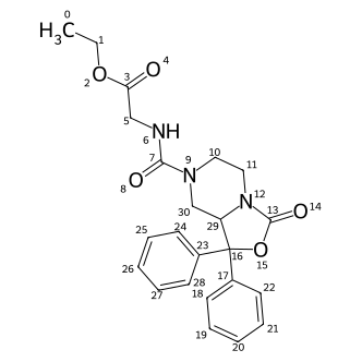 CCOC(=O)CNC(=O)N1CCN2C(=O)OC(c3ccccc3)(c3ccccc3)C2C1